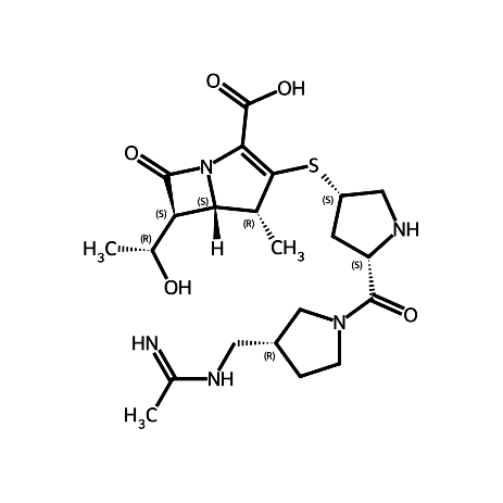 CC(=N)NC[C@H]1CCN(C(=O)[C@@H]2C[C@H](SC3=C(C(=O)O)N4C(=O)[C@H]([C@@H](C)O)[C@H]4[C@H]3C)CN2)C1